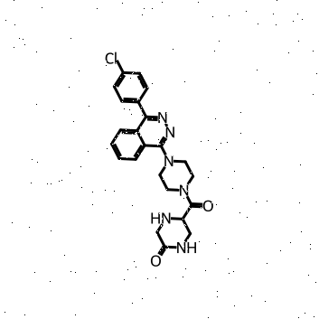 O=C1CNC(C(=O)N2CCN(c3nnc(-c4ccc(Cl)cc4)c4ccccc34)CC2)CN1